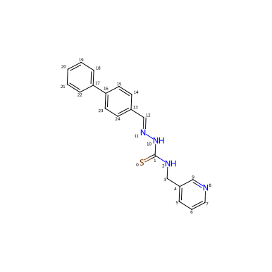 S=C(NCc1cccnc1)NN=Cc1ccc(-c2ccccc2)cc1